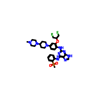 CN1CCN(C2CCN(c3ccc(Nc4nc(Nc5ccccc5S(C)(=O)=O)c5nc[nH]c5n4)c(OC(CF)CF)c3)CC2)CC1